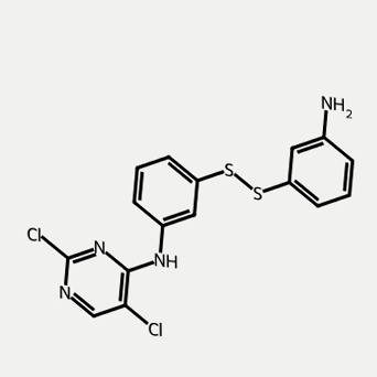 Nc1cccc(SSc2cccc(Nc3nc(Cl)ncc3Cl)c2)c1